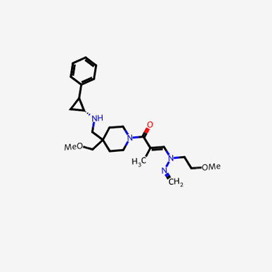 C=NN(/C=C(\C)C(=O)N1CCC(CN[C@@H]2CC2c2ccccc2)(COC)CC1)CCOC